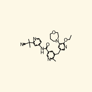 CCOc1ncc(Cc2cc(C(=O)Nc3ccnc(C(C)(C)C#N)c3)cnc2C)cc1N1CCCOCC1